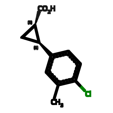 Cc1cc([C@H]2C[C@@H]2C(=O)O)ccc1Cl